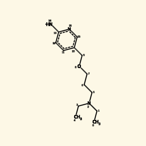 CCN(CC)CCCOCc1ccc([NH])nc1